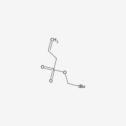 C=CCS(=O)(=O)OCC(C)(C)C